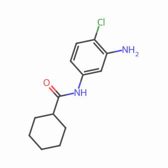 Nc1cc(NC(=O)C2CCCCC2)ccc1Cl